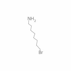 NCCCCCCCCBr